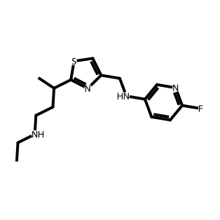 CCNCCC(C)c1nc(CNc2ccc(F)nc2)cs1